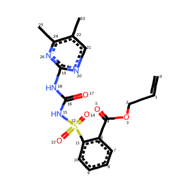 C=CCOC(=O)c1ccccc1S(=O)(=O)NC(=O)Nc1ncc(C)c(C)n1